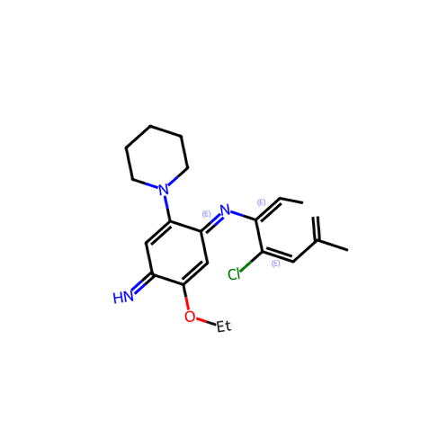 C=C(C)\C=C(Cl)/C(=C\C)/N=C1\C=C(OCC)C(=N)C=C1N1CCCCC1